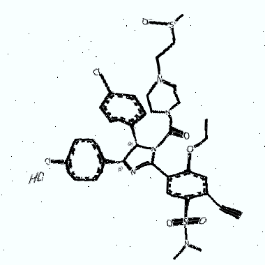 C#Cc1cc(OCC)c(C2=N[C@@H](c3ccc(Cl)cc3)[C@@H](c3ccc(Cl)cc3)N2C(=O)N2CCN(CC[S+](C)[O-])CC2)cc1S(=O)(=O)N(C)C.Cl